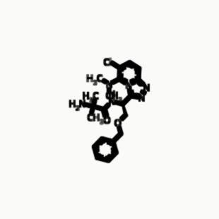 CN(C)c1c(Cl)ccc2nnc([C@@H](COCc3ccccc3)NC(=O)C(C)(C)N)n12